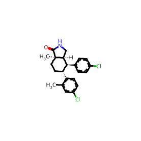 Cc1cc(Cl)ccc1[C@@H]1CC[C@@]2(C)C(=O)NC[C@H]2[C@H]1c1ccc(Cl)cc1